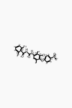 Cc1cc(NC(=O)NC(=O)c2c(F)cccc2F)c(C)c(Cl)c1Oc1ccc([N+](=O)[O-])cc1